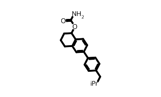 CC(C)Cc1ccc(-c2ccc3c(c2)CCCC3OC(N)=O)cc1